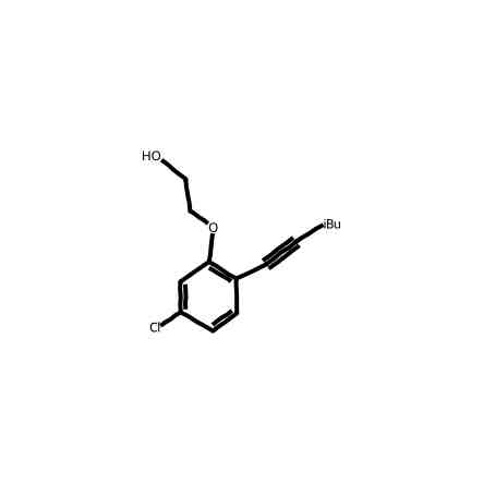 CCC(C)C#Cc1ccc(Cl)cc1OCCO